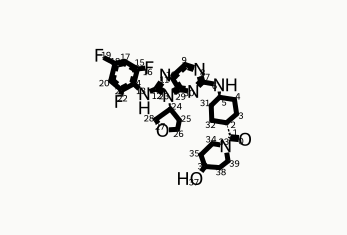 O=C([C@H]1CC[C@H](Nc2ncc3nc(Nc4c(F)cc(F)cc4F)n([C@@H]4CCOC4)c3n2)CC1)N1CCC(O)CC1